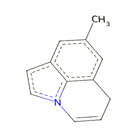 Cc1cc2c3c(ccn3C=CC2)c1